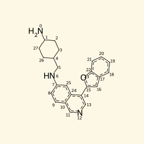 NC1CCC(CNc2ccc3cncc(-c4cc5ccccc5o4)c3c2)CC1